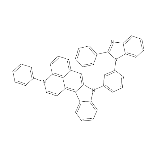 C1=CN(c2ccccc2)c2cccc3cc4c(c1c23)c1ccccc1n4-c1cccc(-n2c(-c3ccccc3)nc3ccccc32)c1